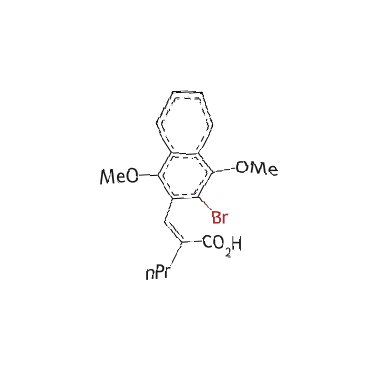 CCC/C(=C/c1c(Br)c(OC)c2ccccc2c1OC)C(=O)O